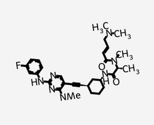 CNc1nc(Nc2cccc(F)c2)ncc1C#C[C@@H]1CCC[C@H](NC(=O)[C@H](C)N(C)C(=O)/C=C/CN(C)C)C1